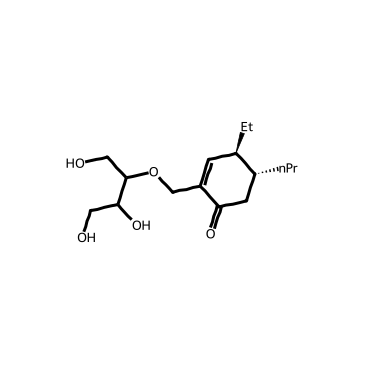 CCC[C@@H]1CC(=O)C(COC(CO)C(O)CO)=C[C@H]1CC